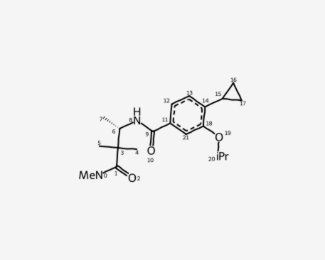 CNC(=O)C(C)(C)[C@H](C)NC(=O)c1ccc(C2CC2)c(OC(C)C)c1